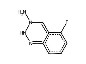 NN1C=c2c(F)cccc2=NN1